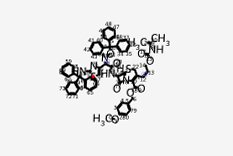 COc1ccc(COC(=O)C2=C(/C=C\COC(=O)NC(C)C)CS[C@@H]3C(NC(=O)/C(=N\OC(c4ccccc4)(c4ccccc4)c4ccccc4)c4csc(NC(c5ccccc5)(c5ccccc5)c5ccccc5)n4)C(=O)N23)cc1